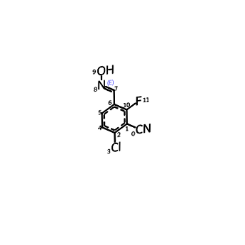 N#Cc1c(Cl)ccc(/C=N/O)c1F